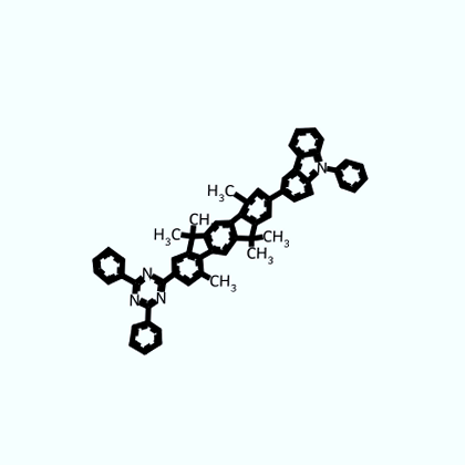 Cc1cc(-c2ccc3c(c2)c2ccccc2n3-c2ccccc2)cc2c1-c1cc3c(cc1C2(C)C)-c1c(C)cc(-c2nc(-c4ccccc4)nc(-c4ccccc4)n2)cc1C3(C)C